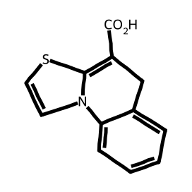 O=C(O)C1=C2SC=CN2c2ccccc2C1